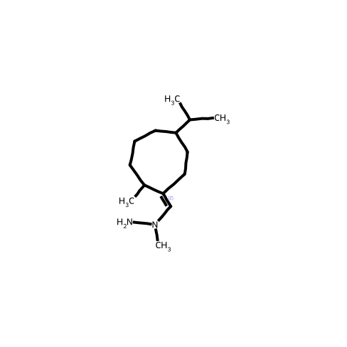 CC1CCCC(C(C)C)CC/C1=C/N(C)N